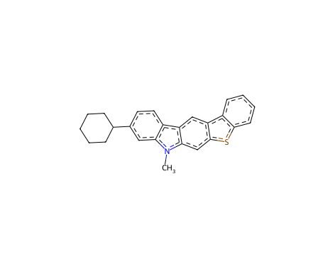 Cn1c2cc(C3CCCCC3)ccc2c2cc3c(cc21)sc1ccccc13